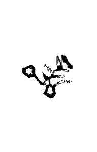 COc1cccc2c1c(C(=O)Nc1nccs1)cn2Cc1ccccc1